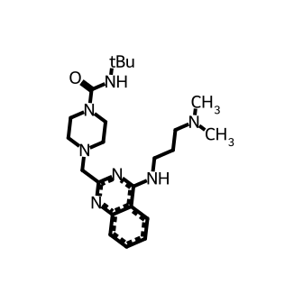 CN(C)CCCNc1nc(CN2CCN(C(=O)NC(C)(C)C)CC2)nc2ccccc12